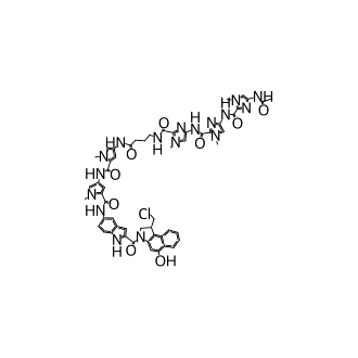 CC(=O)Nc1cn(C)c(C(=O)Nc2cn(C)c(C(=O)Nc3cn(C)c(C(=O)NCCCC(=O)Nc4cc(C(=O)Nc5cc(C(=O)Nc6ccc7[nH]c(C(=O)N8CC(CCl)c9c8cc(O)c8ccccc98)cc7c6)n(C)c5)n(C)c4)n3)n2)n1